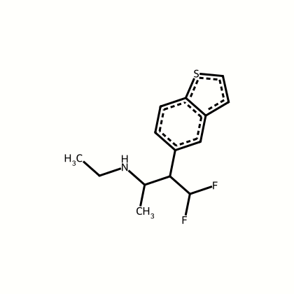 CCNC(C)C(c1ccc2sccc2c1)C(F)F